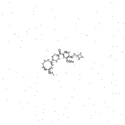 COc1cc(C(=O)N2CCC(/C3=C/C=C(N)\N=C/CCC3)CC2)ncc1OCC1CCC1